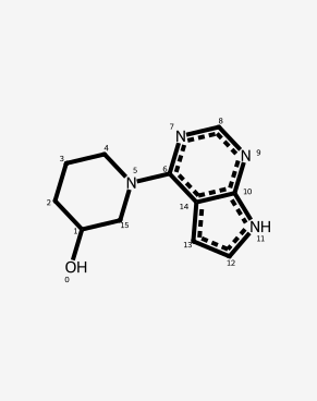 OC1CCCN(c2ncnc3[nH]ccc23)C1